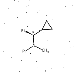 CC[C@@H](C1CC1)N(C)C(C)C